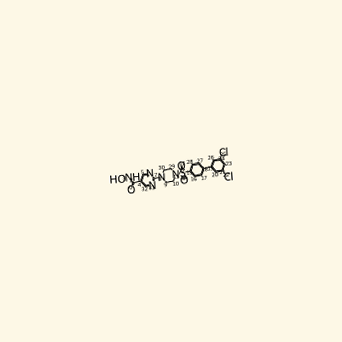 O=C(NO)c1cnc(N2CCN(S(=O)(=O)c3ccc(-c4cc(Cl)cc(Cl)c4)cc3)CC2)nc1